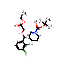 CCOC(=O)COC(c1cccc(F)c1F)[C@@H]1CCCN(C(=O)OC(C)(C)C)C1